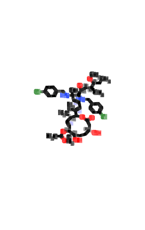 CC[C@H](OC)[C@@H](C)[C@H]1O[C@@H]1C(NCc1ccc(Cl)cc1)C(C)(/C=C/C=C(\C)C1OC(=O)C[C@H](O)CC[C@@](C)(O)[C@@H](OC(C)=O)/C=C/[C@@H]1C)NCc1ccc(Cl)cc1